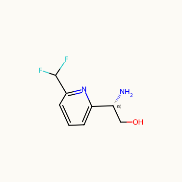 N[C@H](CO)c1cccc(C(F)F)n1